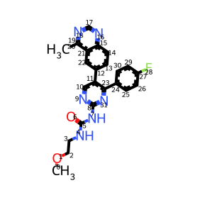 COCCNC(=O)Nc1ncc(-c2ccc3ncnc(C)c3c2)c(-c2ccc(F)cc2)n1